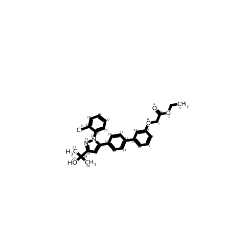 CCOC(=O)COc1cccc(-c2ccc(-c3cc(C(C)(C)O)nn3-c3ccccc3Cl)cc2)c1